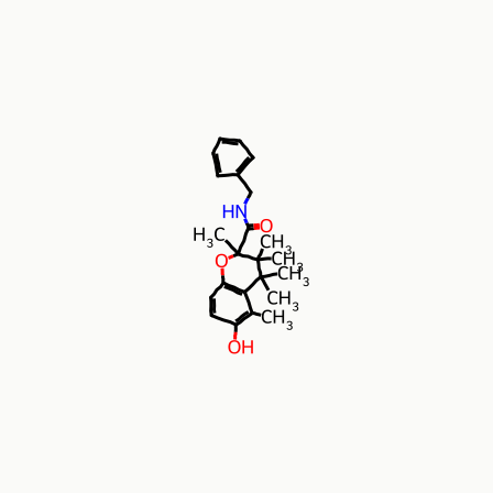 Cc1c(O)ccc2c1C(C)(C)C(C)(C)C(C)(C(=O)NCc1ccccc1)O2